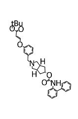 CC(C)(C)OC(=O)C=COc1cccc(CN2C[C@H]3C[C@H](OC(=O)Nc4ccccc4-c4ccccc4)C[C@H]3C2)c1